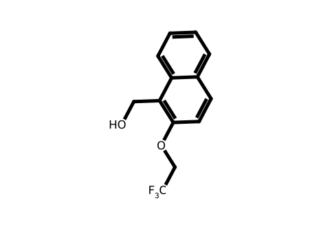 OCc1c(OCC(F)(F)F)ccc2ccccc12